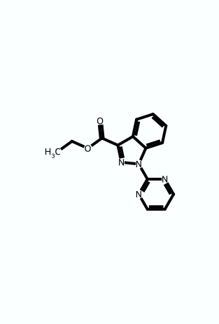 CCOC(=O)c1nn(-c2ncccn2)c2ccccc12